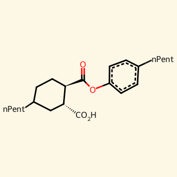 CCCCCc1ccc(OC(=O)[C@@H]2CCC(CCCCC)C[C@H]2C(=O)O)cc1